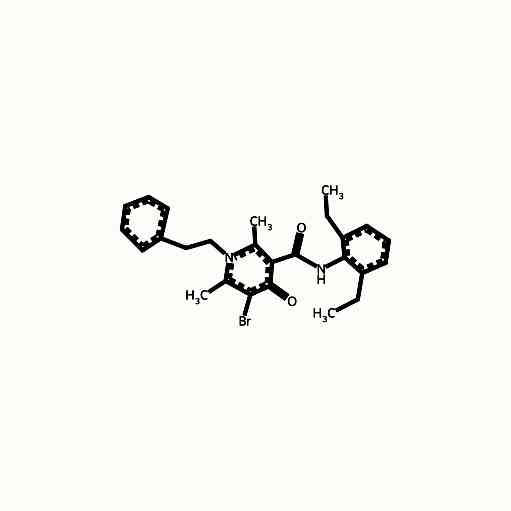 CCc1cccc(CC)c1NC(=O)c1c(C)n(CCc2ccccc2)c(C)c(Br)c1=O